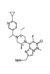 CC[C@@H]1CN(c2c(F)c(=O)n(C)n3cc(CC#N)nc23)[C@@H](C)CN1C(C)c1ccc(C2CC2)nc1